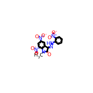 CN1C(=O)/C(=N/Nc2ccccc2[N+](=O)[O-])c2cc([N+](=O)[O-])cc([N+](=O)[O-])c21